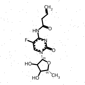 C=CCC(=O)Nc1nc(=O)n([C@@H]2O[C@H](C)C(O)C2O)cc1F